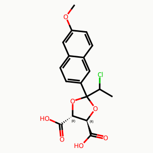 COc1ccc2cc(C3(C(C)Cl)O[C@@H](C(=O)O)[C@H](C(=O)O)O3)ccc2c1